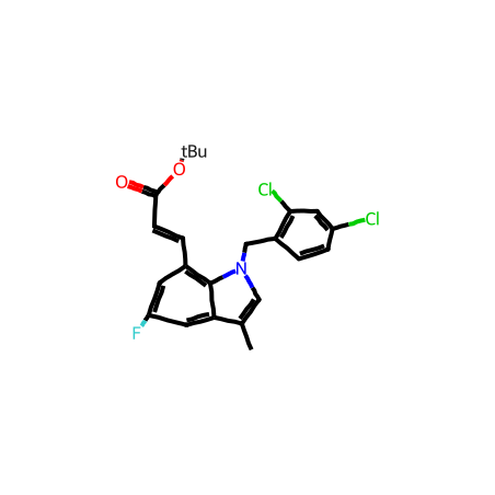 Cc1cn(Cc2ccc(Cl)cc2Cl)c2c(C=CC(=O)OC(C)(C)C)cc(F)cc12